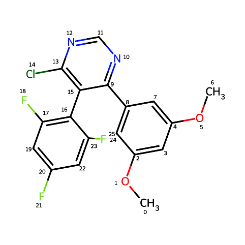 COc1cc(OC)cc(-c2ncnc(Cl)c2-c2c(F)cc(F)cc2F)c1